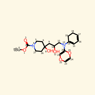 CC(C)(C)OC(=O)N1CCC(O)(CC(O)CN(C2=CC=CCC2)C2=COC=CO2)CC1